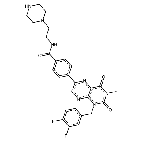 Cn1c(=O)c2nc(-c3ccc(C(=O)NCCN4CCNCC4)cc3)nnc2n(Cc2ccc(F)c(F)c2)c1=O